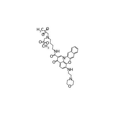 CS(=O)(=O)CN(CCCCNC(=O)c1cn2c3c(c(NCCN4CCOCC4)ccc3c1=O)Oc1cc3ccccc3cc1-2)CS(C)(=O)=O